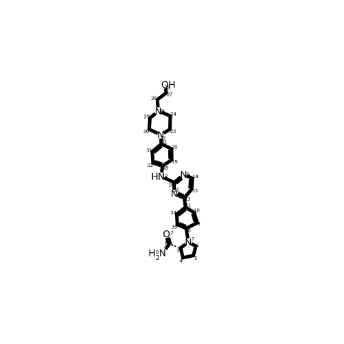 NC(=O)[C@H]1CCCN1c1ccc(-c2ccnc(Nc3ccc(N4CCN(CCO)CC4)cc3)n2)cc1